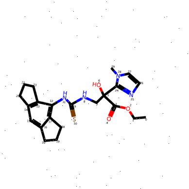 CCOC(=O)C(O)(CNC(=S)Nc1c2c(cc3c1CCC3)CCC2)c1nccn1C